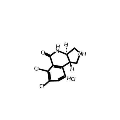 Cl.O=C1N[C@H]2CNC[C@@H]2c2ccc(Cl)c(Cl)c21